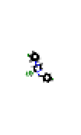 Br.Br.Clc1ccc(CN2CCN(c3cccc(Cl)c3)CC2)cc1